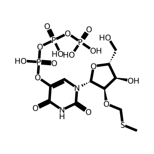 CSCO[C@@H]1[C@H](O)[C@@H](CO)O[C@H]1n1cc(OP(=O)(O)OP(=O)(O)OP(=O)(O)O)c(=O)[nH]c1=O